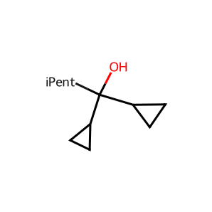 CCCC(C)C(O)(C1CC1)C1CC1